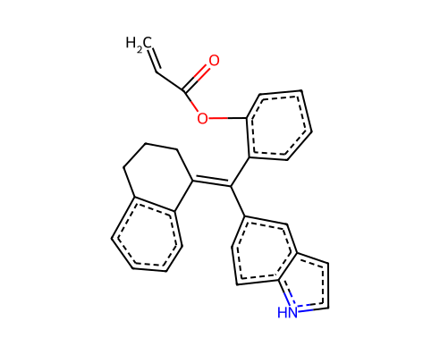 C=CC(=O)Oc1ccccc1/C(=C1\CCCc2ccccc21)c1ccc2[nH]ccc2c1